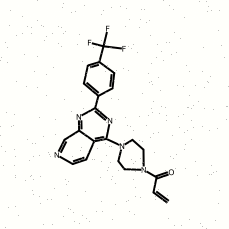 C=CC(=O)N1CCN(c2nc(-c3ccc(C(F)(F)F)cc3)nc3cnccc23)CC1